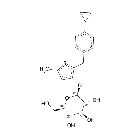 Cc1cc(O[C@@H]2O[C@H](CO)[C@@H](O)[C@H](O)[C@H]2O)c(Cc2ccc(C3CC3)cc2)s1